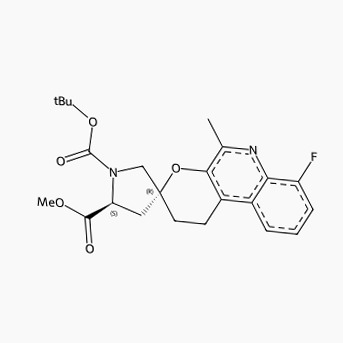 COC(=O)[C@@H]1C[C@]2(CCc3c(c(C)nc4c(F)cccc34)O2)CN1C(=O)OC(C)(C)C